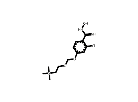 C[Si](C)(C)CCOCOc1ccc(C(=N)NO)c(Cl)c1